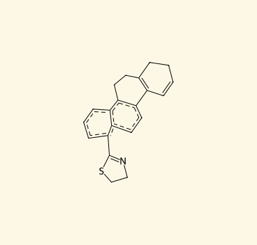 C1=CC2=C(CC1)CCc1c2ccc2c(C3=NCCS3)cccc12